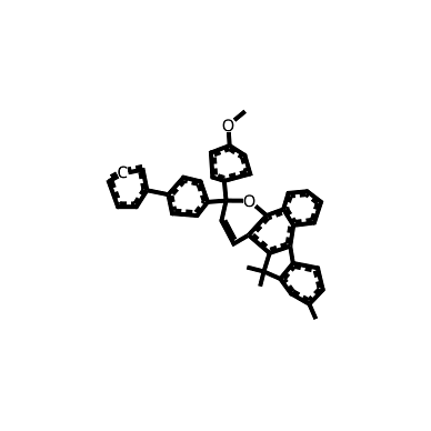 COc1ccc(C2(c3ccc(-c4ccccc4)cc3)C=Cc3c4c(c5ccccc5c3O2)-c2ccc(C)cc2C4(C)C)cc1